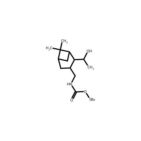 CC(O)C1C(CNC(=O)OC(C)(C)C)CC2CC1C2(C)C